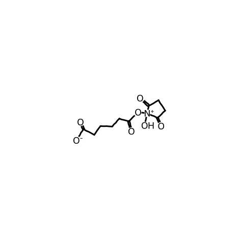 O=C([O-])CCCCC(=O)O[N+]1(O)C(=O)CCC1=O